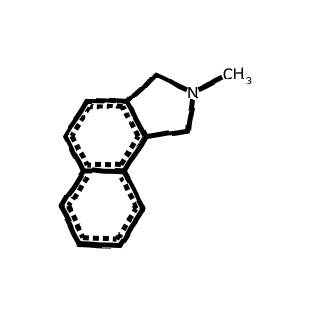 CN1Cc2ccc3ccccc3c2C1